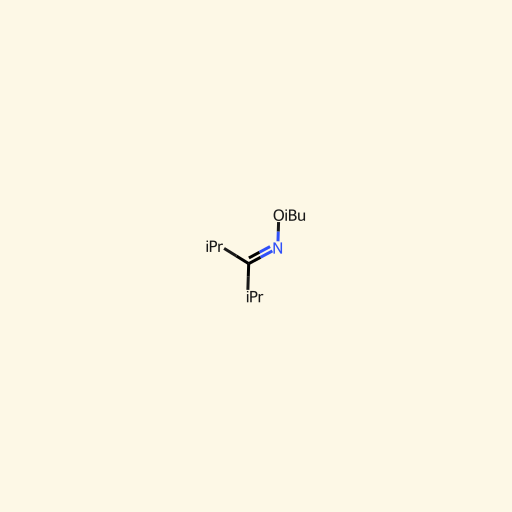 CC(C)CON=C(C(C)C)C(C)C